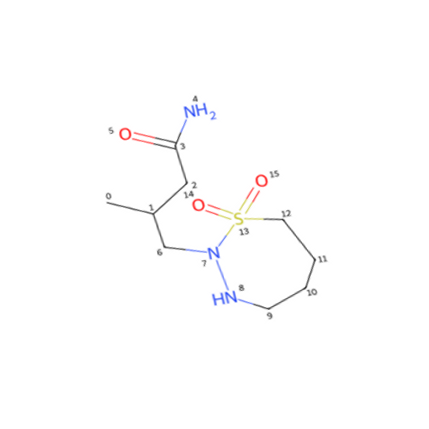 CC(CC(N)=O)CN1NCCCCS1(=O)=O